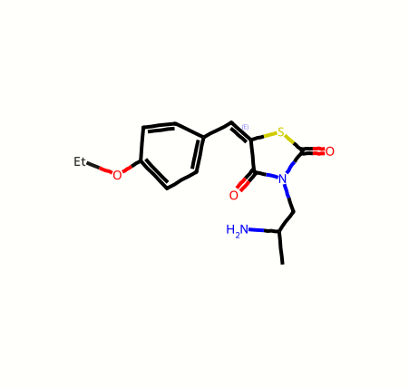 CCOc1ccc(/C=C2/SC(=O)N(CC(C)N)C2=O)cc1